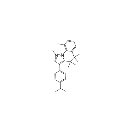 Cc1cccc2c1-n1c(c(-c3ccc(C(C)C)cc3)c[n+]1C)C(C)(C)C2(C)C